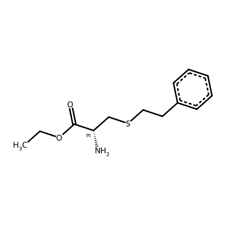 CCOC(=O)[C@@H](N)CSCCc1ccccc1